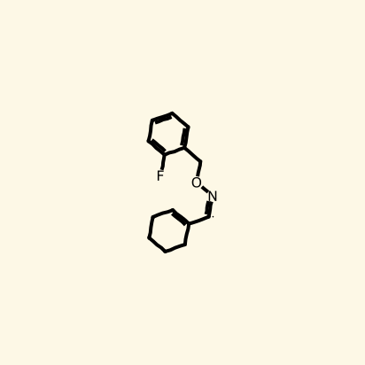 Fc1ccccc1CO/N=[C]\C1=CCCCC1